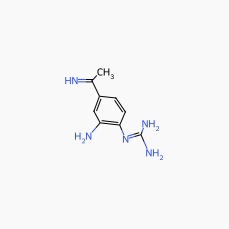 CC(=N)c1ccc(N=C(N)N)c(N)c1